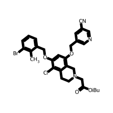 Cc1c(Br)cccc1COc1cc(OCc2cncc(C#N)c2)c2c(c1Cl)CCN(CC(=O)OCC(C)C)C2